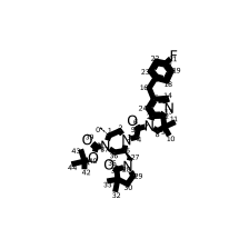 C[C@@H]1CN(CC(=O)N2CC(C)(C)c3ncc(Cc4ccc(F)cc4)cc32)[C@@H](CN2CCC(C)(C)C2=O)CN1C(=O)OC(C)(C)C